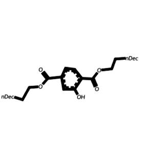 CCCCCCCCCCCCOC(=O)c1ccc(C(=O)OCCCCCCCCCCCC)c(O)c1